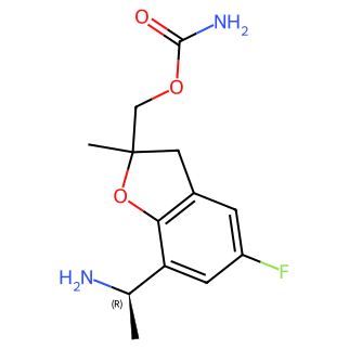 C[C@@H](N)c1cc(F)cc2c1OC(C)(COC(N)=O)C2